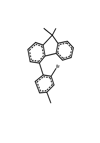 Cc1ccc(-c2cccc3c2-c2ccccc2C3(C)C)c(Br)c1